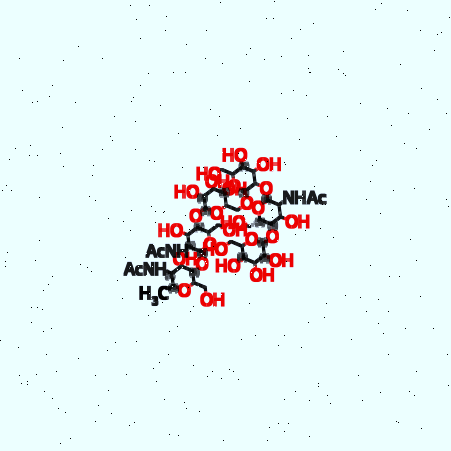 CC(=O)NC1C(O)[C@H](O[C@@H]2OC(CO)[C@H](O)C(O)[C@@H]2O)[C@H](CO)O[C@H]1OC1C(O)[C@H](O)C(CO)O[C@@H]1OCC1O[C@@H](O[C@@H]2C(CO)O[C@@H](O[C@@H]3C(CO)O[C@@H](C)[C@@H](NC(C)=O)C3O)[C@@H](NC(C)=O)C2O)[C@H](O)C(O)[C@@H]1O